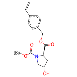 C=Cc1ccc(COC(=O)[C@H]2C[C@H](O)CN2C(=O)OC(C)(C)C)cc1